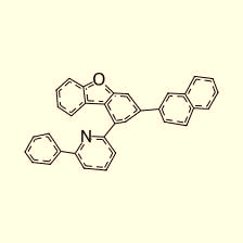 c1ccc(-c2cccc(-c3cc(-c4ccc5ccccc5c4)cc4oc5ccccc5c34)n2)cc1